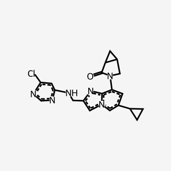 O=C1C2CC2CN1c1cc(C2CC2)cn2cc(CNc3cc(Cl)ncn3)nc12